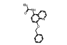 CC(C)(C)C(=O)Nc1ccc(OCc2ccccc2)c2ncccc12